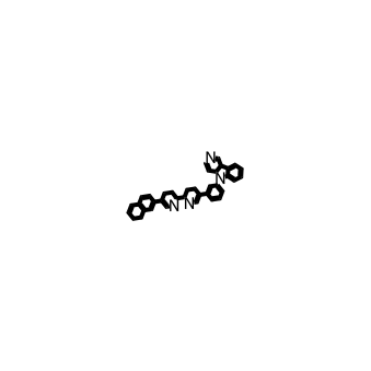 C1=Cc2ccc(C3=CN=C(C4=NC=C(c5cccc(N6c7ccccc7C7C=NC=CC76)c5)CC4)CC3)cc2CC1